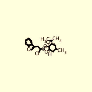 CC1C[C@H]2OB(C(Cl)Cc3coc4ccccc34)O[C@@]2(C)[C@H](C(C)C)C1